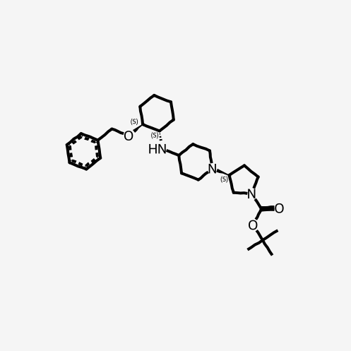 CC(C)(C)OC(=O)N1CC[C@H](N2CCC(N[C@H]3CCCC[C@@H]3OCc3ccccc3)CC2)C1